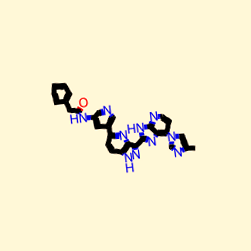 Cc1cn(-c2ccnc3[nH]c(-c4n[nH]c5ccc(-c6cncc(NC(=O)Cc7ccccc7)c6)nc45)nc23)cn1